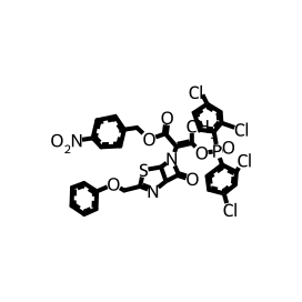 CC(OP(=O)(c1ccc(Cl)cc1Cl)c1ccc(Cl)cc1Cl)=C(C(=O)OCc1ccc([N+](=O)[O-])cc1)N1C(=O)C2N=C(COc3ccccc3)SC21